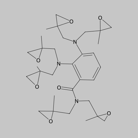 CC1(CN(CC2(C)CO2)C(=O)c2cccc(N(CC3(C)CO3)CC3(C)CO3)c2N(CC2(C)CO2)CC2(C)CO2)CO1